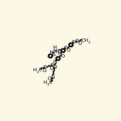 C=CC(=O)OCCCCCOC(COc1ccc(C(=O)Oc2ccc(OC(=O)c3ccc(OCOC(=O)C=C)cc3)cc2/C=N/Nc2nc3ccccc3s2)cc1)OC(=O)CCOC(=O)C=C